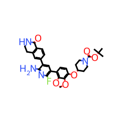 CC(C)(C)OC(=O)N1CCC(Oc2ccc(-c3cc(-c4ccc5c(c4)CCNC5=O)c(N)nc3F)c3c2OCO3)CC1